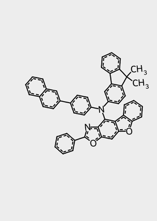 CC1(C)c2ccccc2-c2cc(N(c3ccc(-c4ccc5ccccc5c4)cc3)c3c4nc(-c5ccccc5)oc4cc4oc5ccccc5c34)ccc21